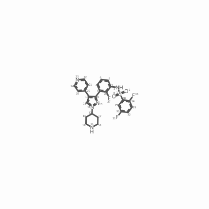 O=S(=O)(Nc1cccc(-c2nn(C3CCNCC3)cc2-c2ccncc2)c1F)c1cc(F)ccc1F